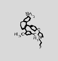 Cc1ccc(C)c(C2=C(c3ccc(OC4CCN(CCCF)C4)cc3)c3ccc(N)cc3CCC2)c1